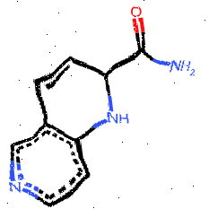 NC(=O)C1C=Cc2cnccc2N1